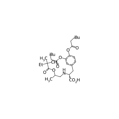 CCC(C)CC(=O)Oc1ccc(C[C@H](NCC(C)OC(=O)C(C)(C)CC)C(=O)O)cc1OC(=O)CC(C)CC